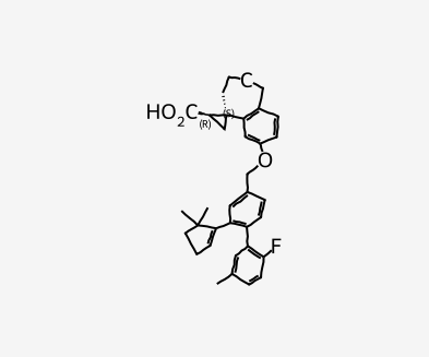 Cc1ccc(F)c(-c2ccc(COc3ccc4c(c3)[C@@]3(CCCC4)C[C@H]3C(=O)O)cc2C2=CCCC2(C)C)c1